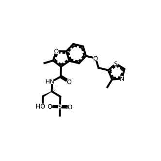 Cc1ncsc1COc1ccc2oc(C)c(C(=O)N[C@H](CO)CS(C)(=O)=O)c2c1